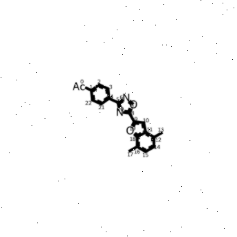 CC(=O)c1ccc(-c2noc(-c3cc4c(C)ccc(C)c4o3)n2)cc1